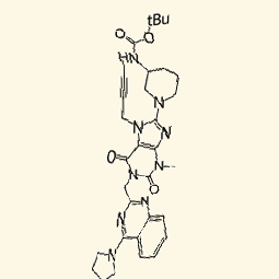 CC#CCn1c(N2CCCC(NC(=O)OC(C)(C)C)C2)nc2c1c(=O)n(Cc1nc(N3CCCC3)c3ccccc3n1)c(=O)n2C